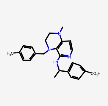 CC(Nc1nccc2c1N(Cc1ccc(C(F)(F)F)cc1)CCN2C)c1ccc(C(=O)O)cc1